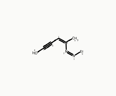 CC/N=N\C(C)=C/C#CO